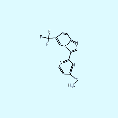 CSc1ccnc(-c2cnc3ccc(C(F)(F)F)cn23)n1